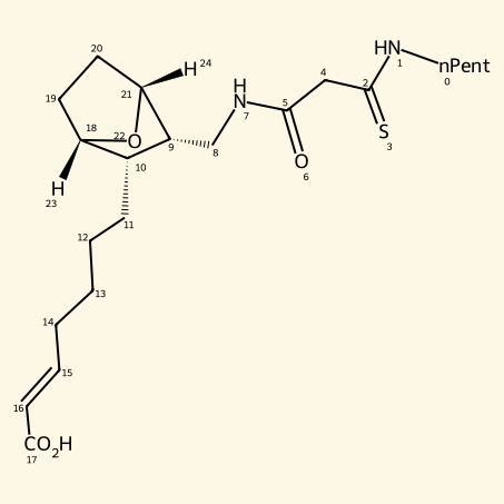 CCCCCNC(=S)CC(=O)NC[C@@H]1[C@H](CCCC/C=C/C(=O)O)[C@@H]2CC[C@H]1O2